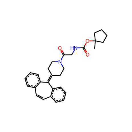 CC1(OC(=O)NCC(=O)N2CCC(=C3c4ccccc4C=Cc4ccccc43)CC2)CCCC1